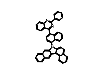 c1ccc(-c2nc(-c3ccc(-n4c5cc6ccccc6cc5c5c6ccccc6ccc54)c4ccccc34)c3ccccc3n2)cc1